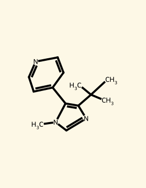 Cn1cnc(C(C)(C)C)c1-c1ccncc1